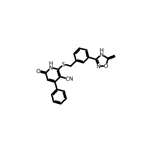 C=C1NC(c2cccc(CSc3[nH]c(=O)cc(-c4ccccc4)c3C#N)c2)=NO1